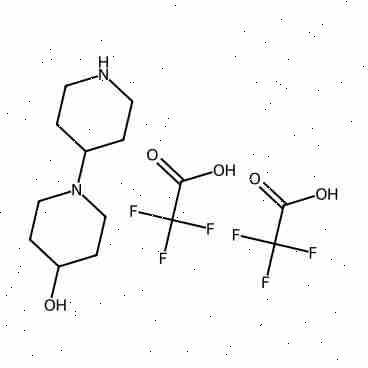 O=C(O)C(F)(F)F.O=C(O)C(F)(F)F.OC1CCN(C2CCNCC2)CC1